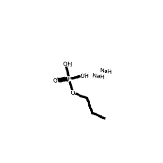 CCCOP(=O)(O)O.[NaH].[NaH]